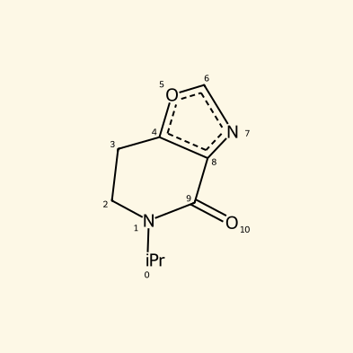 CC(C)N1CCc2ocnc2C1=O